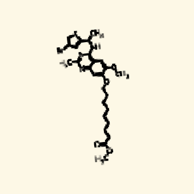 COC(=O)CCCCCCCCOc1cc2nc(C)nc(NC(C)c3cc(Br)cs3)c2cc1OC